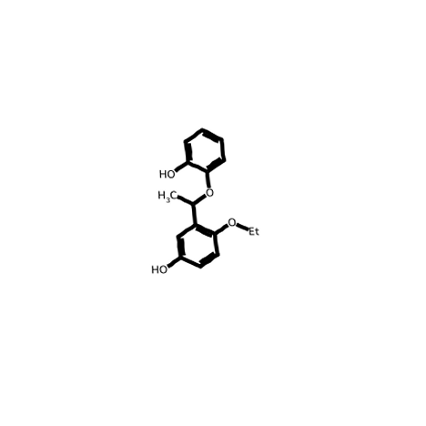 CCOc1ccc(O)cc1C(C)Oc1ccccc1O